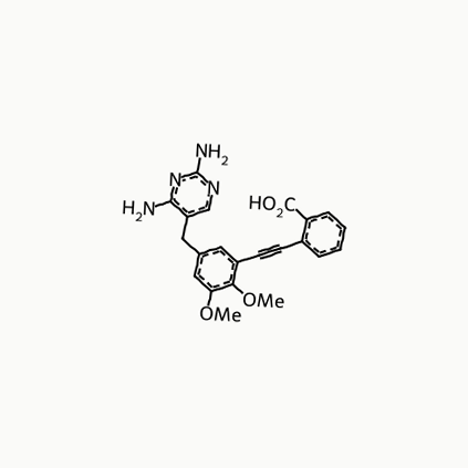 COc1cc(Cc2cnc(N)nc2N)cc(C#Cc2ccccc2C(=O)O)c1OC